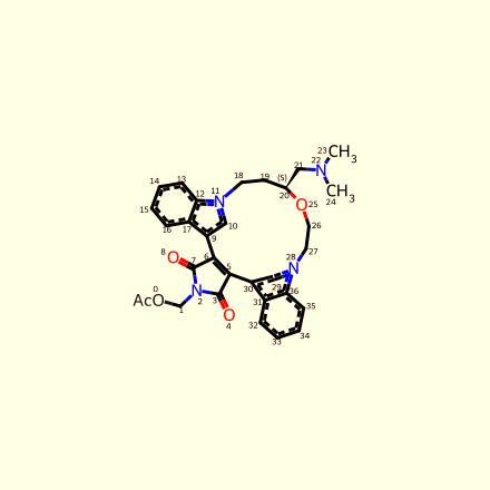 CC(=O)OCN1C(=O)C2=C(C1=O)c1cn(c3ccccc13)CC[C@@H](CN(C)C)OCCn1cc2c2ccccc21